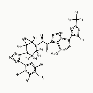 [2H]c1nc(-n2nnnc2N2C([2H])([2H])C([2H])([2H])N(C(=O)C(=O)c3c[nH]c4c(-n5nc(C([2H])([2H])[2H])nc5[2H])ncc(OC)c34)C([2H])([2H])C2([2H])[2H])c([2H])c([2H])c1C